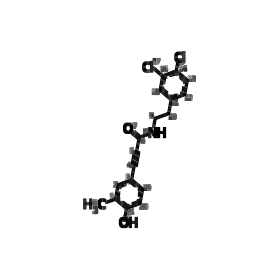 Cc1cc(C#CC(=O)NCCc2ccc(Cl)c(Cl)c2)ccc1O